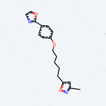 Cc1cc(CCCCCOc2ccc(-c3ncco3)cc2)on1